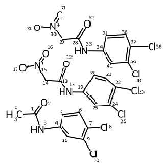 CC(=O)Nc1ccc(Cl)c(Cl)c1.O=C(C[N+](=O)[O-])Nc1ccc(Cl)c(Cl)c1.O=C(C[N+](=O)[O-])Nc1ccc(Cl)c(Cl)c1